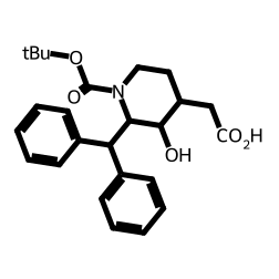 CC(C)(C)OC(=O)N1CCC(CC(=O)O)C(O)C1C(c1ccccc1)c1ccccc1